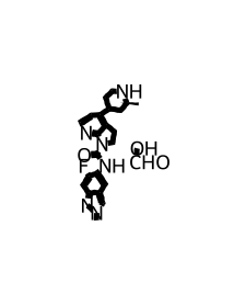 C[C@H]1CC(c2ccnc3c2CCN3C(=O)Nc2cc3cn(C)nc3cc2F)CCN1.O=CO